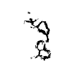 FC(F)(F)Oc1cccc(Cn2cnc3c(Cl)ncnc32)c1